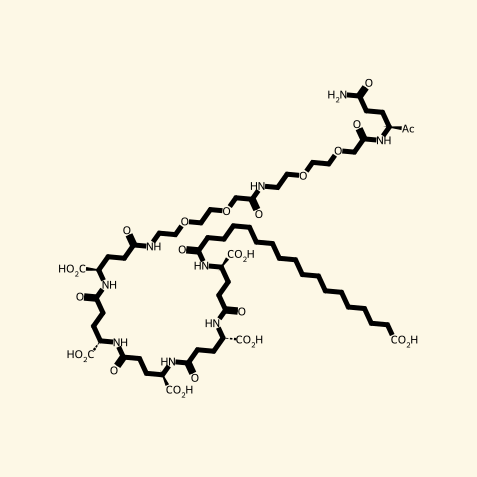 CC(=O)[C@H](CCC(N)=O)NC(=O)COCCOCCNC(=O)COCCOCCNC(=O)CC[C@@H](NC(=O)CC[C@H](NC(=O)CC[C@@H](NC(=O)CC[C@H](NC(=O)CC[C@@H](NC(=O)CCCCCCCCCCCCCCCCC(=O)O)C(=O)O)C(=O)O)C(=O)O)C(=O)O)C(=O)O